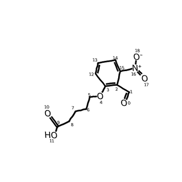 O=Cc1c(OCCCCC(=O)O)cccc1[N+](=O)[O-]